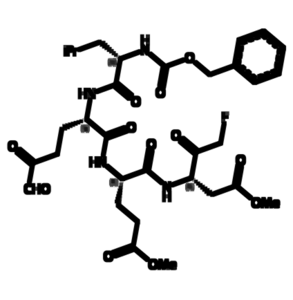 COC(=O)CC[C@H](NC(=O)[C@H](CCC(=O)C=O)NC(=O)[C@H](CC(C)C)NC(=O)OCc1ccccc1)C(=O)N[C@@H](CC(=O)OC)C(=O)CF